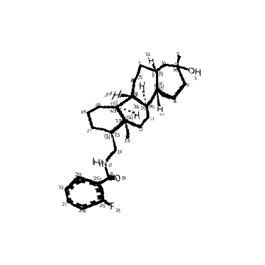 C[C@@]1(O)CC[C@H]2[C@H](CC[C@@H]3[C@@H]2CC[C@]2(C)[C@@H](CNC(=O)c4ccccc4F)CCC[C@@H]32)C1